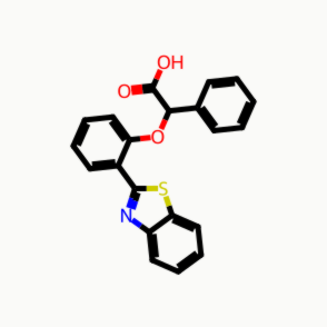 O=C(O)C(Oc1ccccc1-c1nc2ccccc2s1)c1ccccc1